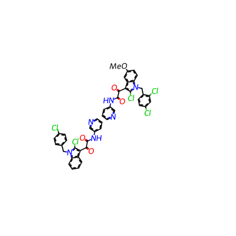 COc1ccc2c(c1)c(C(=O)C(=O)Nc1cccnc1)c(Cl)n2Cc1ccc(Cl)cc1Cl.O=C(Nc1cccnc1)C(=O)c1c(Cl)n(Cc2ccc(Cl)cc2)c2ccccc12